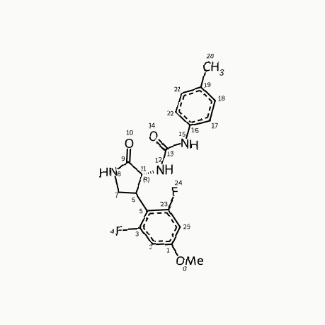 COc1cc(F)c(C2CNC(=O)[C@@H]2NC(=O)Nc2ccc(C)cc2)c(F)c1